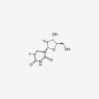 C=C1[C@H](n2cc(I)c(=O)[nH]c2=O)O[C@H](CO)[C@H]1O